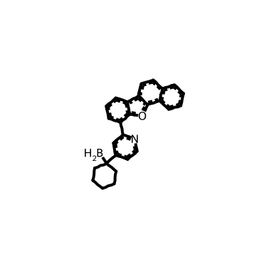 BC1(c2ccnc(-c3cccc4c3oc3c5ccccc5ccc43)c2)CCCCC1